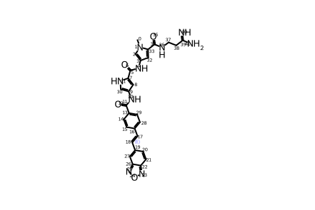 Cn1cc(NC(=O)c2cc(NC(=O)c3ccc(/C=C/c4ccc5nonc5c4)cc3)c[nH]2)cc1C(=O)NCCC(=N)N